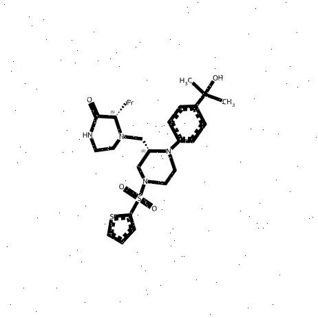 CC(C)[C@H]1C(=O)NCCN1C[C@H]1CN(S(=O)(=O)c2cccs2)CCN1c1ccc(C(C)(C)O)cc1